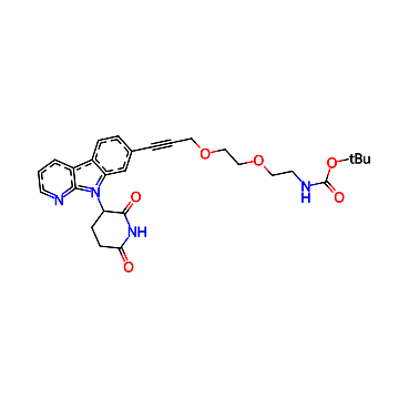 CC(C)(C)OC(=O)NCCOCCOCC#Cc1ccc2c3cccnc3n(C3CCC(=O)NC3=O)c2c1